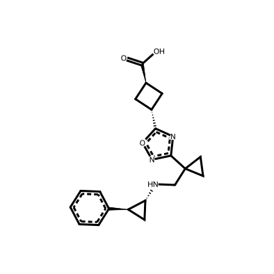 O=C(O)[C@H]1C[C@H](c2nc(C3(CN[C@@H]4C[C@H]4c4ccccc4)CC3)no2)C1